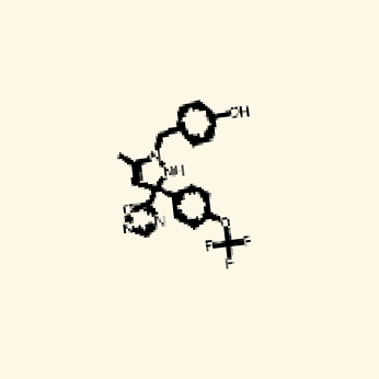 CC1=CC(c2ccc(OC(F)(F)F)cc2)(c2ncno2)NN1Cc1ccc(O)cc1